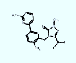 Cc1cccc(-c2ccc(C)c(Cn3c(C(F)F)nn(C)c3=O)c2)n1